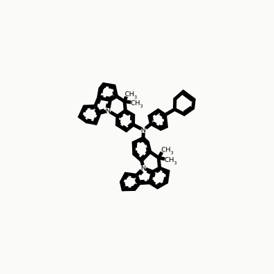 CC1(C)c2cc(N(c3ccc(C4C=CC=CC4)cc3)c3ccc4c(c3)C(C)(C)c3cccc5c6ccccc6n-4c35)ccc2-n2c3ccccc3c3cccc1c32